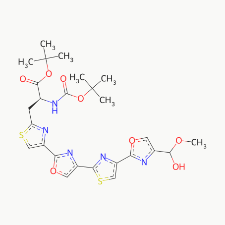 COC(O)c1coc(-c2csc(-c3coc(-c4csc(C[C@H](NC(=O)OC(C)(C)C)C(=O)OC(C)(C)C)n4)n3)n2)n1